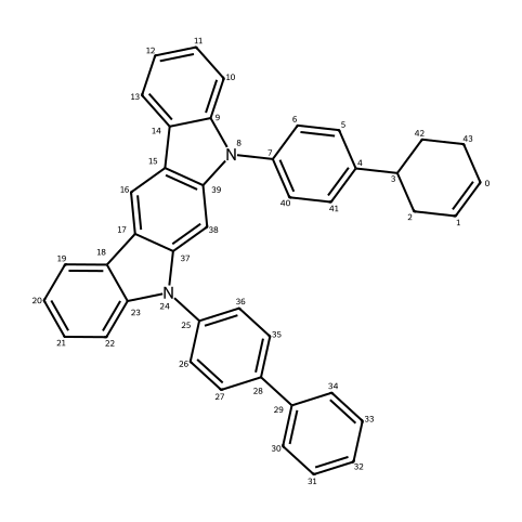 C1=CCC(c2ccc(-n3c4ccccc4c4cc5c6ccccc6n(-c6ccc(-c7ccccc7)cc6)c5cc43)cc2)CC1